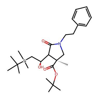 CC(C)(C)OC(=O)[C@]1(C)CN(CCc2ccccc2)C(=O)C1[C@@H](O)C[Si](C)(C)C(C)(C)C